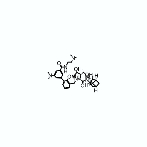 COc1c(CN2C[C@H](O)[C@@H]([C@H](C)O)[C@H]2C(=O)N[C@H]2C[C@H]3C[C@@H]([C@@H]2C)C3(C)C)cccc1-c1cc(C(=O)NCCN(C)C)cc(N(C)C)c1